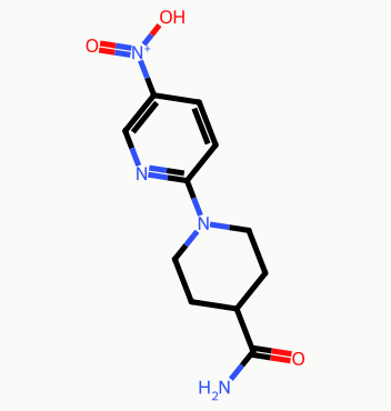 NC(=O)C1CCN(c2ccc([N+](=O)O)cn2)CC1